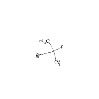 CC(C)(F)Br